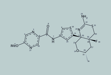 COc1cnc(C(=O)Nc2csc([C@]34CO[C@@H](C)C[C@@]3(F)CSC(N)=N4)c2)cn1